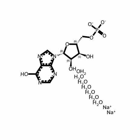 O.O.O.O.O.O.O.O=P([O-])([O-])OC[C@H]1O[C@@H](n2cnc3c(O)ncnc32)[C@H](O)[C@@H]1O.[Na+].[Na+]